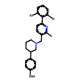 CCc1cccc(CC)c1-c1ccc(CN2CCCC(c3ccc(OC)cc3)C2)c(C)n1